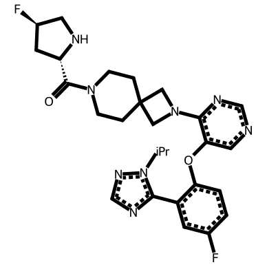 CC(C)n1ncnc1-c1cc(F)ccc1Oc1cncnc1N1CC2(CCN(C(=O)[C@@H]3C[C@@H](F)CN3)CC2)C1